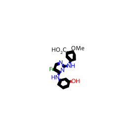 COc1ccc(Nc2ncc(F)c(Nc3cccc(O)c3)n2)cc1C(=O)O